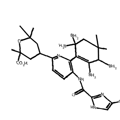 BC1=C(c2nc(C3CC(C)(C)OC(C)(C(=O)O)C3)ccc2NC(=O)c2nc(C#N)c[nH]2)C(B)(B)CC(C)(C)C1B